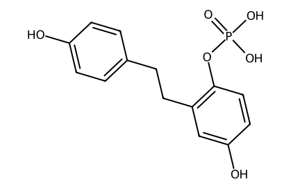 O=P(O)(O)Oc1ccc(O)cc1CCc1ccc(O)cc1